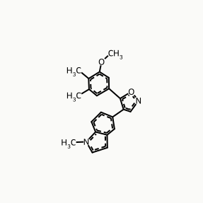 COc1cc(-c2oncc2-c2ccc3c(ccn3C)c2)cc(C)c1C